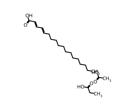 CC(=O)O.CCC(=O)O.CCCCCCCCCCCCCC=CC=CC(=O)O